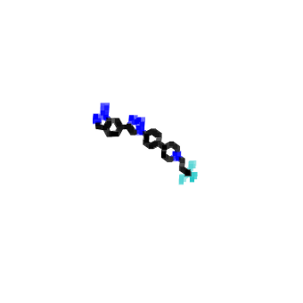 FC(F)(F)CCN1CCC(c2ccc(-n3cc(-c4ccc5cn[nH]c5c4)nn3)cc2)CC1